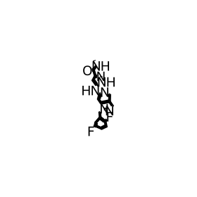 CNC(=O)c1cc(Nc2cc3c(cn2)cnn3Cc2cc(F)ccc2F)[nH]n1